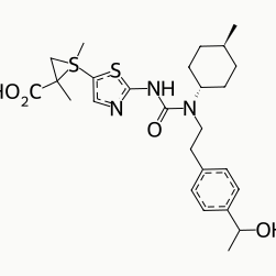 CC(O)c1ccc(CCN(C(=O)Nc2ncc(S3(C)CC3(C)C(=O)O)s2)[C@H]2CC[C@H](C)CC2)cc1